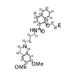 COc1cc2c(cc1OC)CN(CCCCNC(=O)c1cc(C)c3ccccc3c1OCCF)CC2